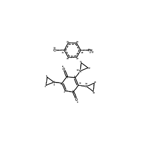 O=C1C=C(N2CC2)C(=O)C(N2CC2)=C1N1CC1.Pc1ccc(Cl)cc1